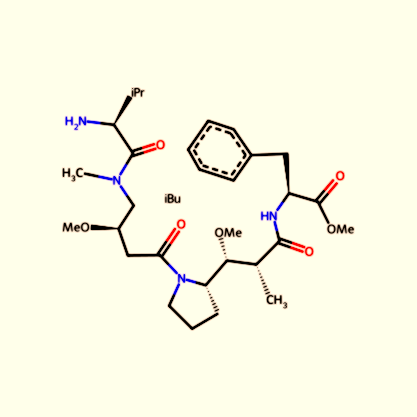 CC[C@H](C)C([C@@H](CC(=O)N1CCC[C@H]1[C@H](OC)[C@@H](C)C(=O)N[C@@H](Cc1ccccc1)C(=O)OC)OC)N(C)C(=O)[C@@H](N)C(C)C